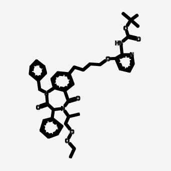 CCOOCC(C)N1C(=O)c2cc(CCCCOc3cccnc3NC(=O)OC(C)(C)C)ccc2N(Cc2ccccc2)C(=O)C1c1ccccc1